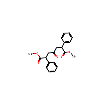 CCCOC(=O)C(CC(=O)CC(C(=O)OCCC)c1ccccc1)c1ccccc1